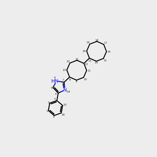 c1ccc(-c2c[nH]c(C3CCCC(C4CCCCCCC4)CCC3)n2)cc1